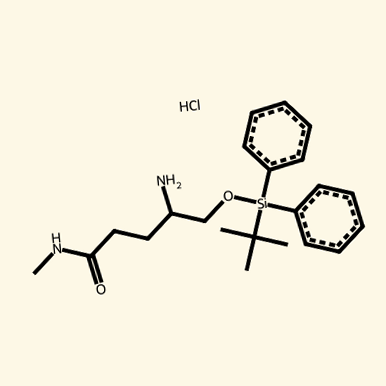 CNC(=O)CCC(N)CO[Si](c1ccccc1)(c1ccccc1)C(C)(C)C.Cl